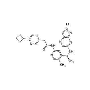 CCn1cc2ncc(N[C@@H](C)c3cc(NC(=O)Cc4ccc(C5CCC5)nc4)ccc3C)nc2n1